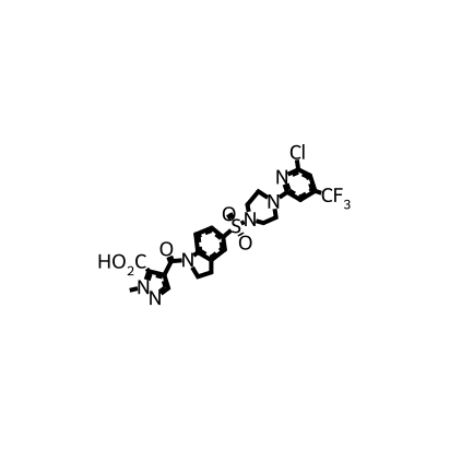 Cn1ncc(C(=O)N2CCc3cc(S(=O)(=O)N4CCN(c5cc(C(F)(F)F)cc(Cl)n5)CC4)ccc32)c1C(=O)O